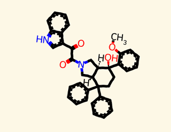 COc1ccccc1[C@]1(O)CCC(c2ccccc2)(c2ccccc2)[C@H]2CN(C(=O)C(=O)c3c[nH]c4ccccc34)C[C@H]21